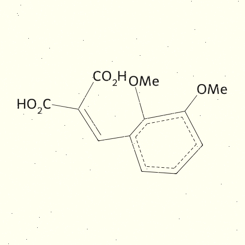 COc1cccc(C=C(C(=O)O)C(=O)O)c1OC